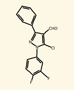 O=Cc1c(-c2ccccc2)nn(-c2ccc(F)c(F)c2)c1Cl